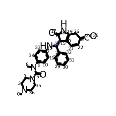 CN1CCN(C(=O)N(C)c2ccc(N/C(=C3\C(=O)NC4=C3C=CC(=C=O)C4)c3ccccc3)cc2)CC1